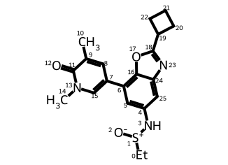 CC[S+]([O-])Nc1cc(-c2cc(C)c(=O)n(C)c2)c2oc(C3CCC3)nc2c1